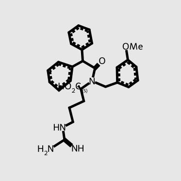 COc1cccc(CN(C(=O)C(c2ccccc2)c2ccccc2)[C@@H](CCCNC(=N)N)C(=O)O)c1